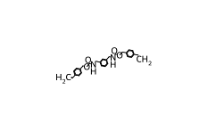 C=Cc1ccc(COC(=O)NCc2cccc(CNC(=O)OCc3ccc(C=C)cc3)c2)cc1